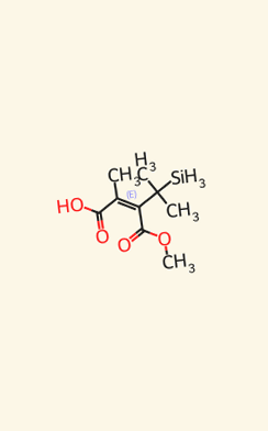 COC(=O)/C(=C(/C)C(=O)O)C(C)(C)[SiH3]